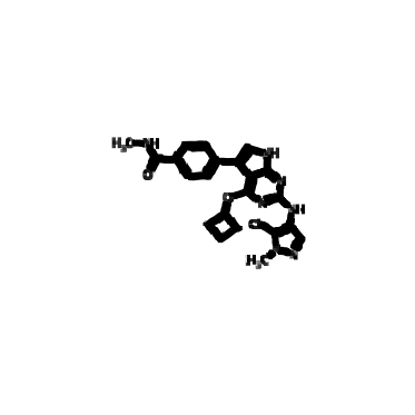 CNC(=O)c1ccc(-c2c[nH]c3nc(Nc4cnn(C)c4Cl)nc(OC4CCC4)c23)cc1